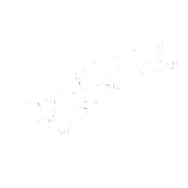 C=C(C)[C@@H]1CC[C@]2(N)CC[C@]3(C)[C@H](CC[C@@H]4[C@@]5(C)CC=C(CC6CCC(OC)(C(=O)O)CC6)C(C)(C)[C@@H]5CC[C@]43C)[C@@H]12